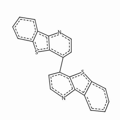 c1ccc2c(c1)sc1c(-c3ccnc4c3sc3ccccc34)ccnc12